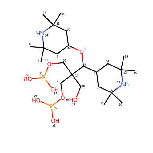 CC1(C)CC(OC(C2CC(C)(C)NC(C)(C)C2)C(CO)(COP(O)O)COP(O)O)CC(C)(C)N1